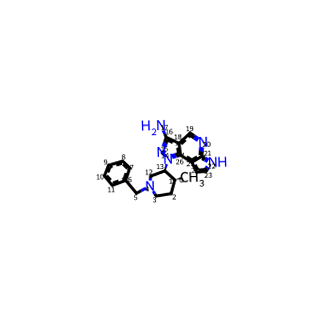 C[C@@H]1CCN(Cc2ccccc2)C[C@H]1n1nc(N)c2cnc3[nH]ccc3c21